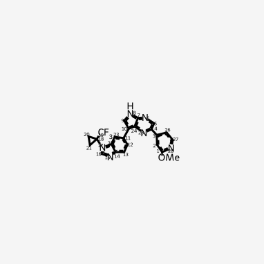 COc1cc(-c2cnc3[nH]cc(-c4ccc5ncn(C6(C(F)(F)F)CC6)c5c4)c3n2)ccn1